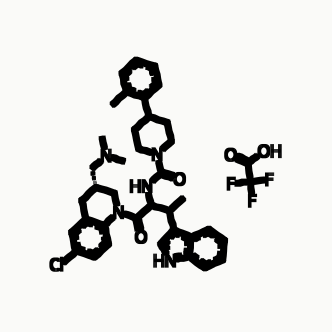 Cc1ccccc1C1CCN(C(=O)NC(C(=O)N2C[C@@H](CN(C)C)Cc3cc(Cl)ccc32)C(C)c2c[nH]c3ccccc23)CC1.O=C(O)C(F)(F)F